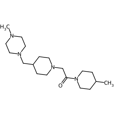 CC1CCN(C(=O)CN2CCC(CN3CCN(C)CC3)CC2)CC1